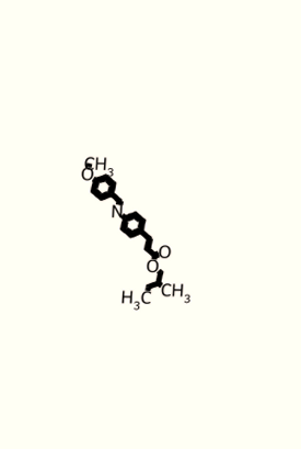 CCC(C)COC(=O)C=Cc1ccc(N=Cc2ccc(OC)cc2)cc1